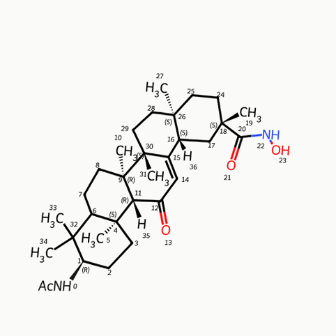 CC(=O)N[C@@H]1CC[C@@]2(C)C(CC[C@]3(C)[C@@H]2C(=O)C=C2[C@H]4C[C@@](C)(C(=O)NO)CC[C@]4(C)CC[C@]23C)C1(C)C